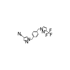 N#Cc1cnn(Cc2ccc(Cn3ccc(C(F)(F)F)n3)cc2)c1